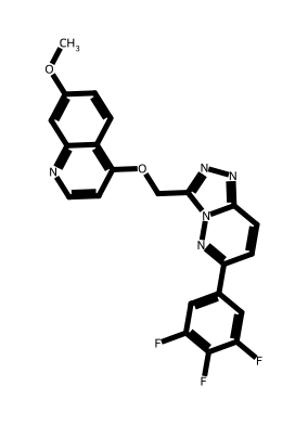 COc1ccc2c(OCc3nnc4ccc(-c5cc(F)c(F)c(F)c5)nn34)ccnc2c1